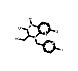 CCC(CO)N(Cc1ccc(Cl)nc1)c1nc(Cl)ccc1[N+](=O)[O-]